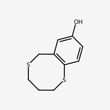 Oc1ccc2c(c1)CSCCCS2